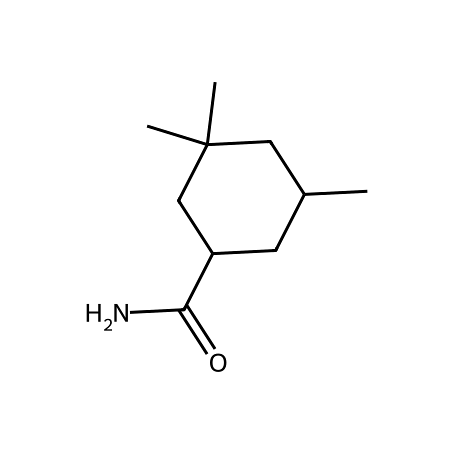 CC1CC(C(N)=O)CC(C)(C)C1